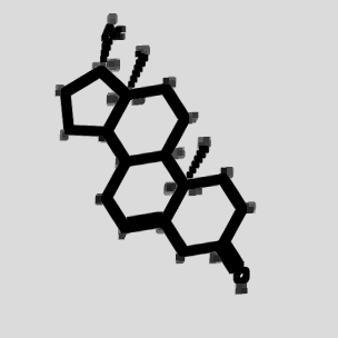 CC(=O)[C@H]1CCC2C3CC=C4CC(=O)CC[C@]4(C)C3CC[C@@]21C